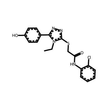 CCn1c(SCC(=O)Nc2ccccc2Cl)nnc1-c1ccc(O)cc1